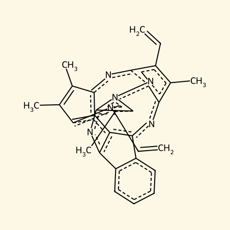 C=Cc1c(C)c2nc3c4c(nc5c(C)c(C=C)c6nc7c4c(nc1n2n56)C(C)=C7C)-c1ccccc1-3